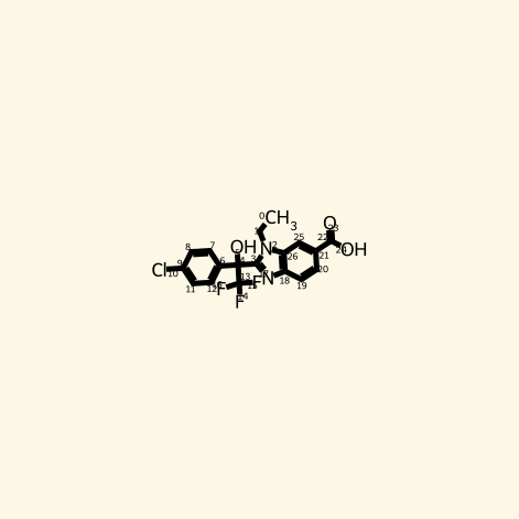 CCn1c(C(O)(c2ccc(Cl)cc2)C(F)(F)F)nc2ccc(C(=O)O)cc21